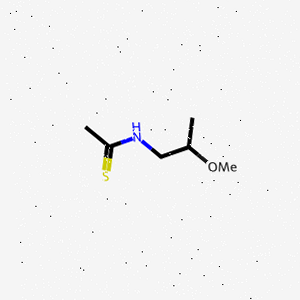 COC(C)CNC(C)=S